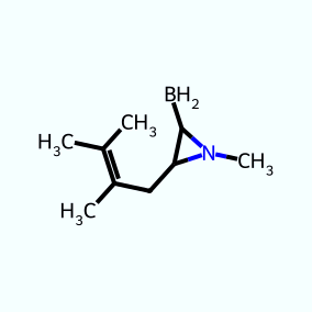 BC1C(CC(C)=C(C)C)N1C